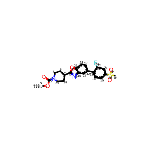 CC(C)(C)OC(=O)N1CCC(c2nc3cc(-c4ccc(S(C)(=O)=O)cc4F)ccc3o2)CC1